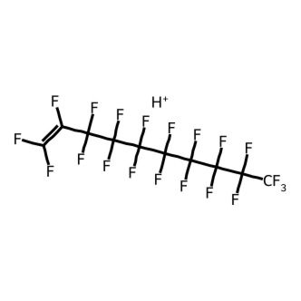 FC(F)=C(F)C(F)(F)C(F)(F)C(F)(F)C(F)(F)C(F)(F)C(F)(F)C(F)(F)C(F)(F)F.[H+]